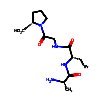 CC(C)C[C@H](NC(=O)[C@H](C)N)C(=O)NCC(=O)N1CCC[C@H]1C(=O)O